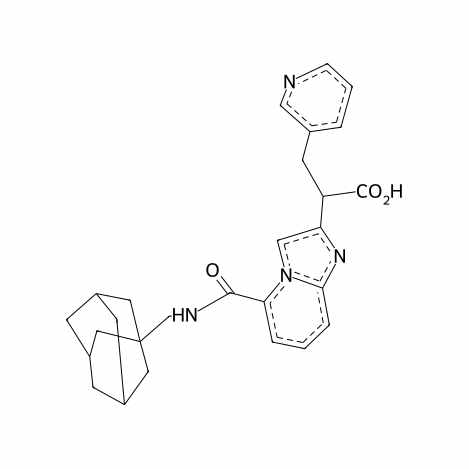 O=C(NCC12CC3CC(CC(C3)C1)C2)c1cccc2nc(C(Cc3cccnc3)C(=O)O)cn12